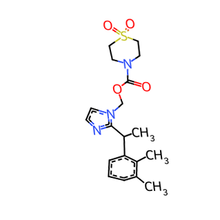 Cc1cccc(C(C)c2nccn2COC(=O)N2CCS(=O)(=O)CC2)c1C